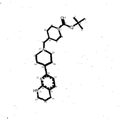 CC(C)(C)OC(=O)N1CCC(CN2CCC(c3ccc4c(n3)NCCC4)CC2)CC1